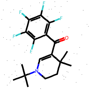 CC1(C)CCN(C(C)(C)C)C=C1C(=O)c1c(F)c(F)c(F)c(F)c1F